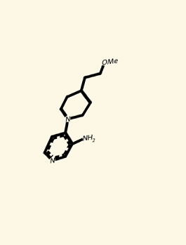 COCCC1CCN(c2ccncc2N)CC1